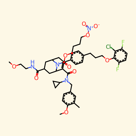 COCCNC(=O)C1CC2CC(c3ccc(CCCOc4c(F)ccc(F)c4Cl)cc3)=C(C(=O)N(Cc3ccc(OC)c(C)c3)C3CC3)C(C1)N2C(=O)OCCCCO[N+](=O)[O-]